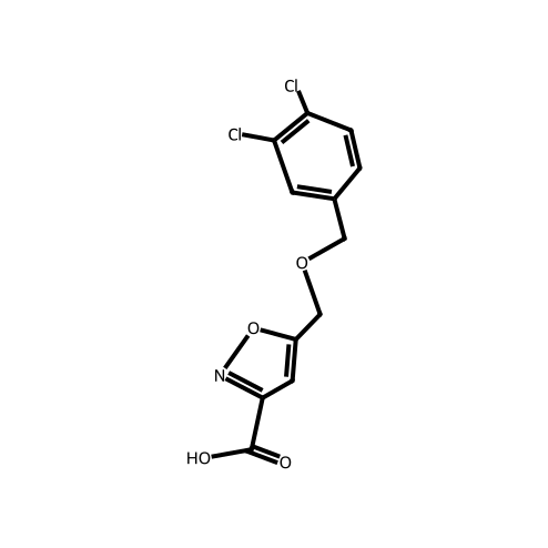 O=C(O)c1cc(COCc2ccc(Cl)c(Cl)c2)on1